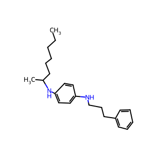 CCCCCCC(C)Nc1ccc(NCCCc2ccccc2)cc1